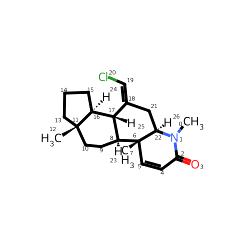 CN1C(=O)C=C[C@]2(C)[C@H]3CC[C@]4(C)CCC[C@H]4[C@@H]3/C(=C\Cl)C[C@@H]12